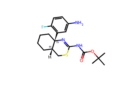 CC(C)(C)OC(=O)NC1=N[C@@]2(c3cc(N)ccc3F)CCCC[C@H]2CS1